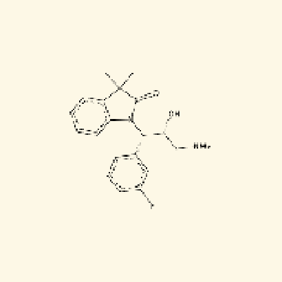 CNC[C@@H](O)[C@H](c1cccc(F)c1)N1C(=O)C(C)(C)c2ccccc21